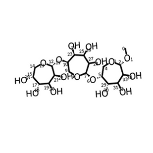 CO[C@H]1OC[C@@H](O[C@H]2OC[C@@H](O[C@H]3OC[C@@H](O)[C@@H](O)C(O)C3O)[C@@H](O)C(O)C2O)[C@@H](O)C(O)C1O